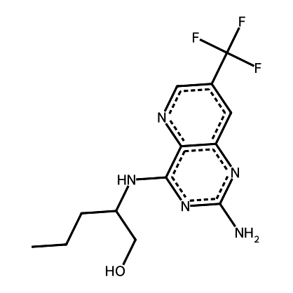 CCCC(CO)Nc1nc(N)nc2cc(C(F)(F)F)cnc12